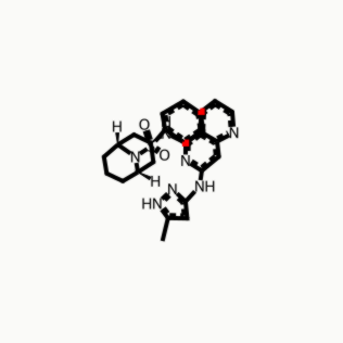 Cc1cc(Nc2cc3ncccc3c(N[C@@H]3C[C@H]4CCC[C@@H](C3)N4S(=O)(=O)c3ccccc3)n2)n[nH]1